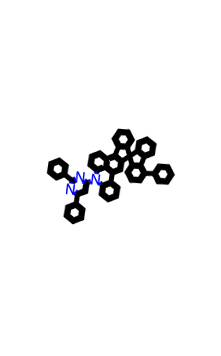 c1ccc(-c2cc(N3c4ccccc4-c4cc5c(c6cccc3c46)-c3ccccc3C53c4ccccc4-c4c(-c5ccccc5)cccc43)nc(-c3ccccc3)n2)cc1